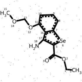 CCOC(=O)c1[se]c2cccc(OCOC)c2c1N